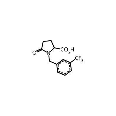 O=C(O)C1CCC(=O)N1Cc1cccc(C(F)(F)F)c1